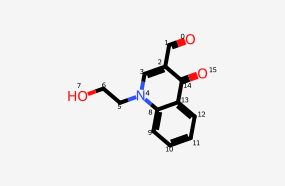 O=Cc1cn(CCO)c2ccccc2c1=O